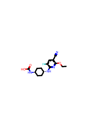 CCOc1nc(N[C@H]2CC[C@H](NC(=O)O)CC2)c(F)cc1C#N